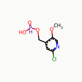 COc1cnc(Cl)cc1CO[PH](=O)O